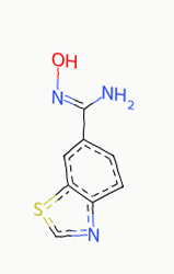 NC(=NO)c1ccc2ncsc2c1